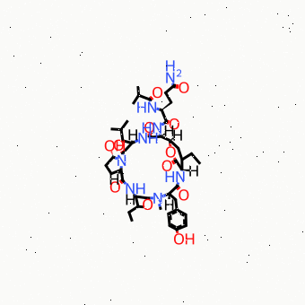 CCC(C)[C@@H]1NC(=O)[C@@H]2CC[C@H](O)N2C(=O)[C@H](CC(C)C)NC(=O)[C@@H](NC(=O)[C@H](CCC(N)=O)NC(=O)C(C)C)[C@H]2CC(CC)[C@H](NC(=O)[C@H](Cc3ccc(O)cc3)N(C)C1=O)C(=O)O2